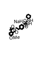 COc1ccc2c(c1)C(=O)N(CCc1ccc(S(=O)(=O)NC(=O)NC3CCCCC3)cc1)C(=O)C2(C)C.[NaH]